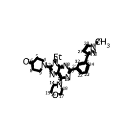 CCn1c(N2CCC(=O)CC2)nc2c(N3CCOCC3)nc(-c3cccc(-c4ccn(C)n4)c3)nc21